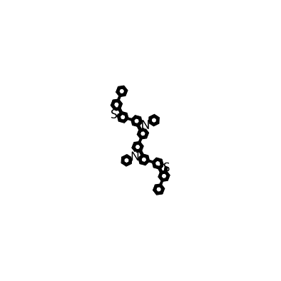 c1ccc(-c2ccc3sc4ccc(-c5ccc6c(c5)c5cc(-c7ccc8c(c7)c7cc(-c9ccc%10sc%11ccc(-c%12ccccc%12)cc%11c%10c9)ccc7n8-c7ccccc7)ccc5n6-c5ccccc5)cc4c3c2)cc1